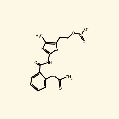 CC(=O)Oc1ccccc1C(=O)Nc1nc(C)c(CCO[N+](=O)[O-])s1